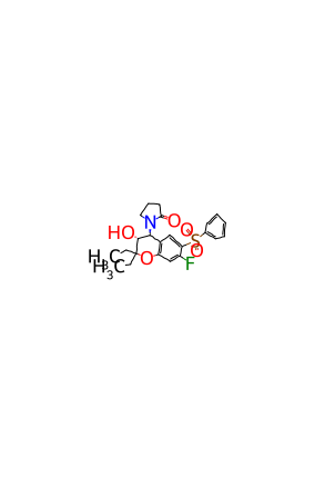 CCC1(CC)Oc2cc(F)c(S(=O)(=O)c3ccccc3)cc2[C@H](N2CCCC2=O)[C@H]1O